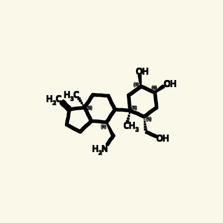 C=C1CCC2[C@H](CN)C([C@@]3(C)C[C@@H](O)[C@@H](O)C[C@@H]3CO)CC[C@]12C